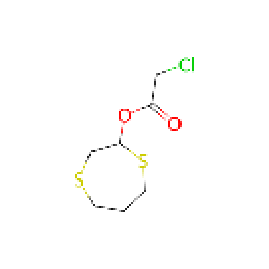 O=C(CCl)OC1CSCCCS1